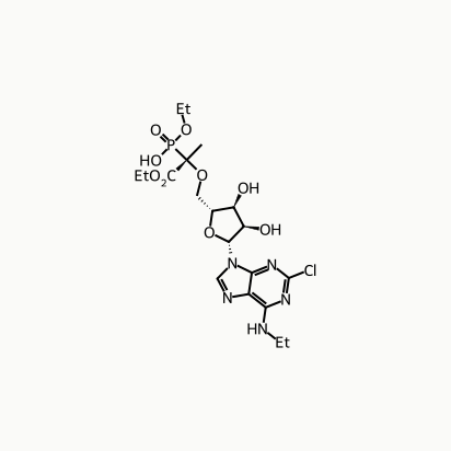 CCNc1nc(Cl)nc2c1ncn2[C@@H]1O[C@H](CO[C@](C)(C(=O)OCC)P(=O)(O)OCC)[C@@H](O)[C@H]1O